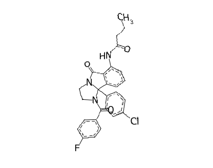 CCCC(=O)Nc1cccc2c1C(=O)N1CCN(C(=O)c3ccc(F)cc3)C21c1ccc(Cl)cc1